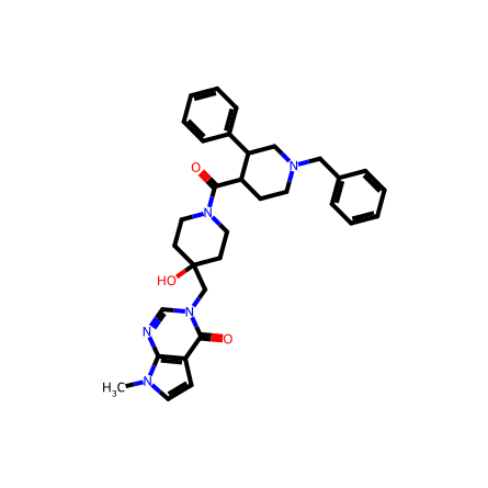 Cn1ccc2c(=O)n(CC3(O)CCN(C(=O)C4CCN(Cc5ccccc5)CC4c4ccccc4)CC3)cnc21